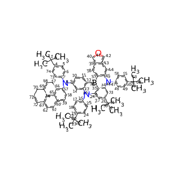 CC(C)(C)c1ccc(N(c2ccc3c(c2)N(c2ccc(C(C)(C)C)cc2)c2cc(C(C)(C)C)cc4c2B3c2cc3cocc3cc2N4c2ccc(C(C)(C)C)cc2)c2ccc3ccc4c5c3c2CC=C5CC=C4)cc1